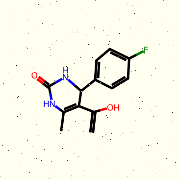 C=C(O)C1=C(C)NC(=O)NC1c1ccc(F)cc1